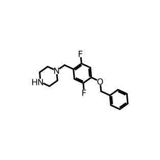 Fc1cc(OCc2ccccc2)c(F)cc1CN1CCNCC1